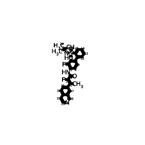 CC(=C(F)C(=O)Nc1ccc(-c2ccccc2S(=O)(=O)NC(C)(C)C)cc1F)c1ccc2ccncc2c1